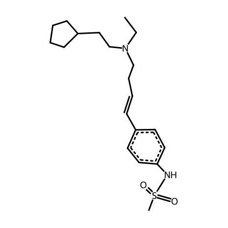 CCN(CC/C=C/c1ccc(NS(C)(=O)=O)cc1)CCC1CCCC1